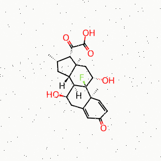 C[C@H]1C[C@H]2[C@@H]3[C@H](O)CC4=CC(=O)C=C[C@]4(C)[C@@]3(F)[C@@H](O)C[C@]2(C)[C@H]1C(=O)C(=O)O